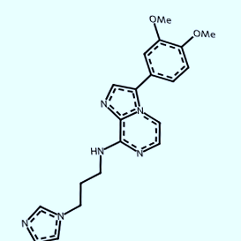 COc1ccc(-c2cnc3c(NCCCn4ccnc4)nccn23)cc1OC